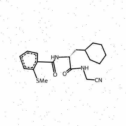 CSc1ccccc1C(=O)N[C@H](CC1CCCCC1)C(=O)NCC#N